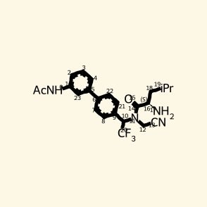 CC(=O)Nc1cccc(-c2ccc(C(N(CC#N)C(=O)[C@@H](N)CC(C)C)C(F)(F)F)cc2)c1